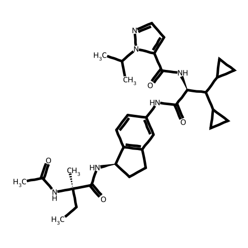 CC[C@@](C)(NC(C)=O)C(=O)N[C@@H]1CCc2cc(NC(=O)[C@@H](NC(=O)c3ccnn3C(C)C)C(C3CC3)C3CC3)ccc21